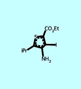 CCOC(=O)c1sc(C(C)C)c(N)c1I